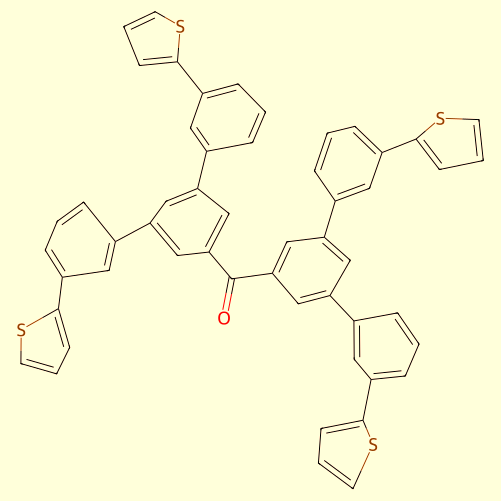 O=C(c1cc(-c2cccc(-c3cccs3)c2)cc(-c2cccc(-c3cccs3)c2)c1)c1cc(-c2cccc(-c3cccs3)c2)cc(-c2cccc(-c3cccs3)c2)c1